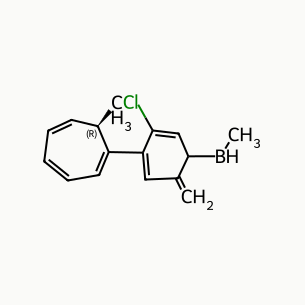 C=C1C=C(C2=CC=CC=C[C@H]2C)C(Cl)=CC1BC